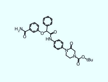 CC(C)(C)OC(=O)N1CCN(c2ccc(NC(=O)C(Oc3cccc(C(N)=O)c3)c3ccccc3)cc2)C(=O)C1